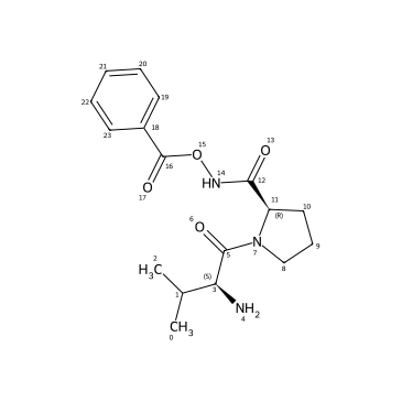 CC(C)[C@H](N)C(=O)N1CCC[C@@H]1C(=O)NOC(=O)c1ccccc1